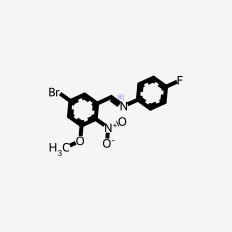 COc1cc(Br)cc(/C=N/c2ccc(F)cc2)c1[N+](=O)[O-]